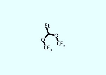 [CH2]CC(OC(F)(F)F)OC(F)(F)F